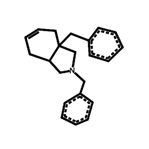 C1=CCC2(Cc3ccccc3)CN(Cc3ccccc3)CC2C1